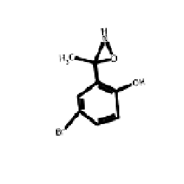 CC1(c2cc(Br)ccc2O)NO1